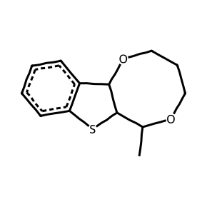 CC1OCCCOC2c3ccccc3SC12